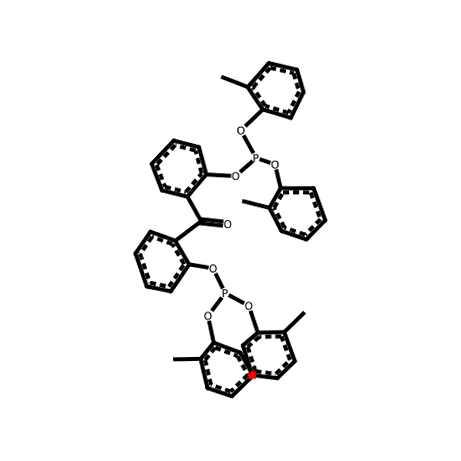 Cc1ccccc1OP(Oc1ccccc1C)Oc1ccccc1C(=O)c1ccccc1OP(Oc1ccccc1C)Oc1ccccc1C